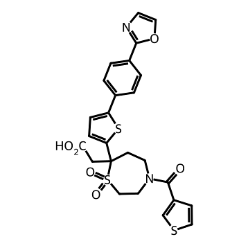 O=C(O)CC1(c2ccc(-c3ccc(-c4ncco4)cc3)s2)CCN(C(=O)c2ccsc2)CCS1(=O)=O